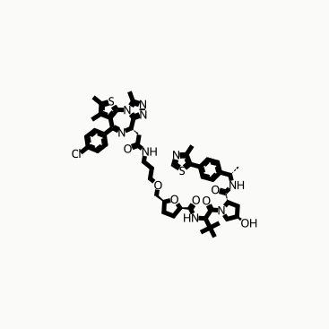 Cc1ncsc1-c1ccc([C@H](C)NC(=O)[C@@H]2C[C@@H](O)CN2C(=O)C(NC(=O)[C@H]2CC[C@@H](COCCCNC(=O)C[C@@H]3N=C(c4ccc(Cl)cc4)c4c(sc(C)c4C)-n4c(C)nnc43)O2)C(C)(C)C)cc1